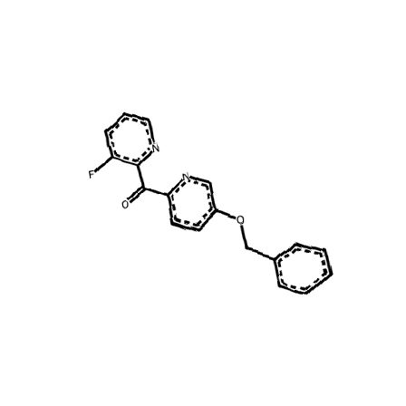 O=C(c1ccc(OCc2ccccc2)cn1)c1ncccc1F